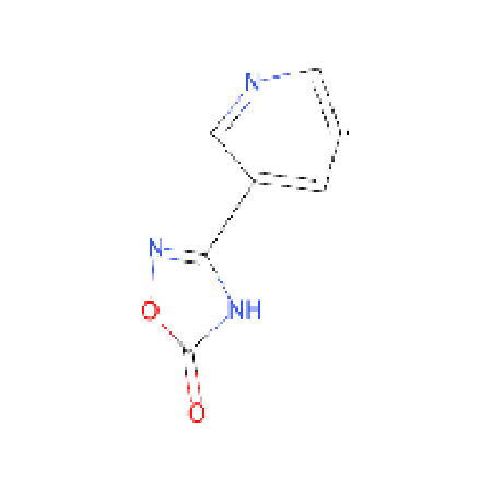 O=c1[nH]c(-c2c[c]cnc2)no1